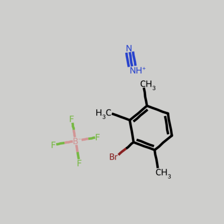 Cc1ccc(C)c(Br)c1C.F[B-](F)(F)F.N#[NH+]